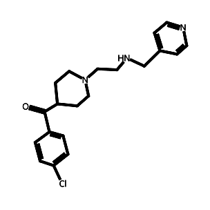 O=C(c1ccc(Cl)cc1)C1CCN(CCNCc2ccncc2)CC1